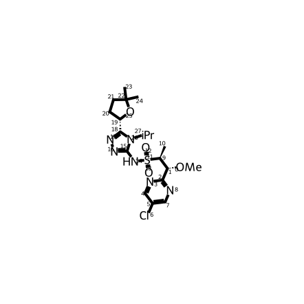 CO[C@H](c1ncc(Cl)cn1)[C@H](C)S(=O)(=O)Nc1nnc([C@@H]2CCC(C)(C)O2)n1C(C)C